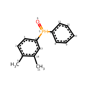 Cc1ccc([PH](=O)c2ccccc2)cc1C